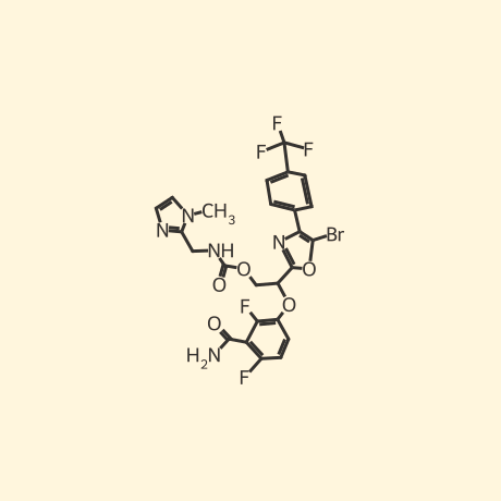 Cn1ccnc1CNC(=O)OCC(Oc1ccc(F)c(C(N)=O)c1F)c1nc(-c2ccc(C(F)(F)F)cc2)c(Br)o1